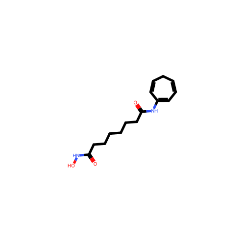 O=C(CCCCCCC(=O)NC1=CC=CCC=C1)NO